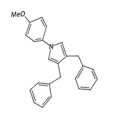 COc1ccc(-n2cc(Cc3ccccc3)c(Cc3ccccc3)c2)cc1